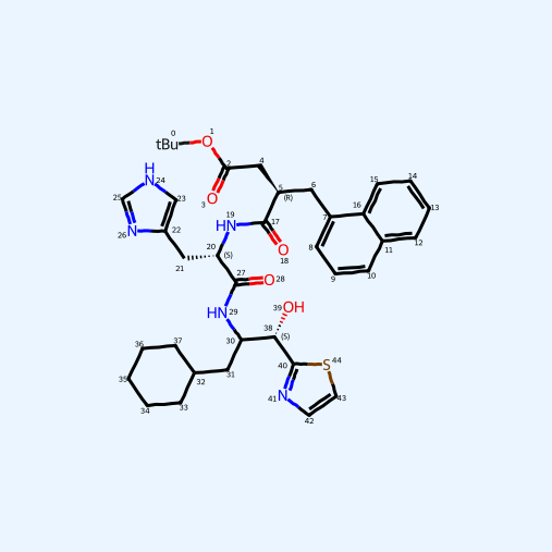 CC(C)(C)OC(=O)C[C@@H](Cc1cccc2ccccc12)C(=O)N[C@@H](Cc1c[nH]cn1)C(=O)NC(CC1CCCCC1)[C@H](O)c1nccs1